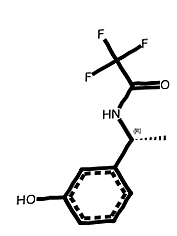 C[C@@H](NC(=O)C(F)(F)F)c1cccc(O)c1